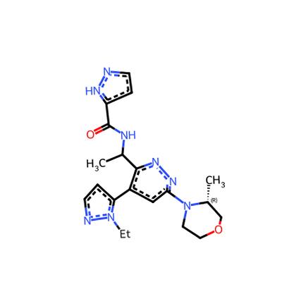 CCn1nccc1-c1cc(N2CCOC[C@H]2C)nnc1C(C)NC(=O)c1ccn[nH]1